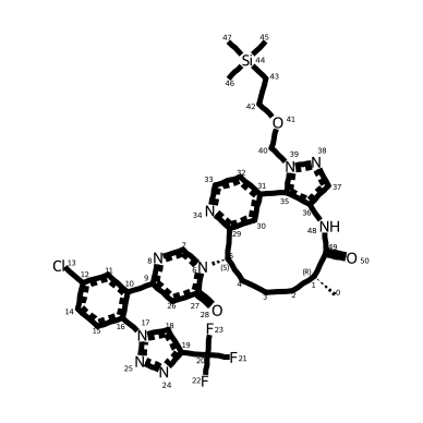 C[C@@H]1CCC[C@H](n2cnc(-c3cc(Cl)ccc3-n3cc(C(F)(F)F)nn3)cc2=O)c2cc(ccn2)-c2c(cnn2COCC[Si](C)(C)C)NC1=O